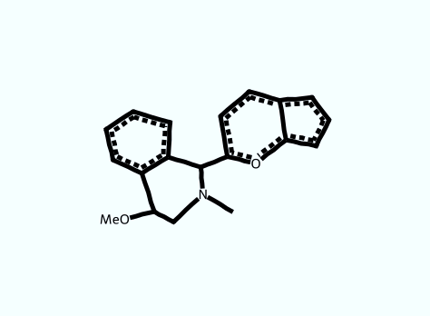 COC1CN(C)C(c2ccc3cccc-3o2)c2ccccc21